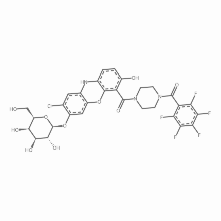 O=C(c1c(F)c(F)c(F)c(F)c1F)N1CCN(C(=O)c2c(O)ccc3c2Oc2cc(O[C@@H]4O[C@H](CO)[C@H](O)[C@H](O)[C@H]4O)c(Cl)cc2N3)CC1